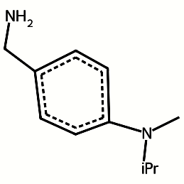 CC(C)N(C)c1ccc(CN)cc1